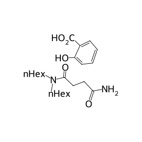 CCCCCCN(CCCCCC)C(=O)CCC(N)=O.O=C(O)c1ccccc1O